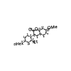 CCCCCCc1ccc(-c2cc3ccc(OC)cc3oc2=O)c(CC)c1